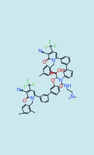 Cc1ccc(Cn2c(-c3cccc(-c4cccc(OC(C(=O)O)N(C(=O)NCCN(C)C)c5cccc(-c6cccc(-c7cc(C(F)(F)F)c(C#N)c(=O)n7Cc7ccc(C)cc7C)c6)c5)c4)c3)cc(C(F)(F)F)c(C#N)c2=O)c(C)c1